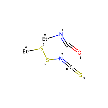 CCN=C=O.CCSSN=C=S